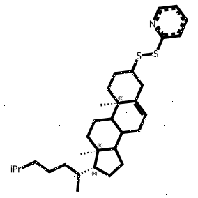 CC(C)CCCC(C)[C@H]1CCC2C3CC=C4CC(SSc5ccccn5)CC[C@]4(C)C3CC[C@@]21C